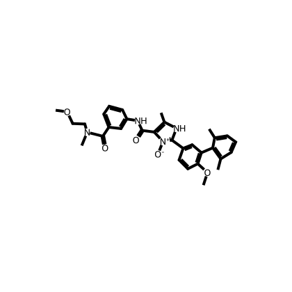 COCCN(C)C(=O)c1cccc(NC(=O)c2c(C)[nH]c(-c3ccc(OC)c(-c4c(C)cccc4C)c3)[n+]2[O-])c1